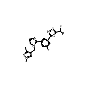 Cc1nn(C)cc1Cn1ccnc1-c1cc(F)cc(-c2nnc(C(F)F)o2)c1